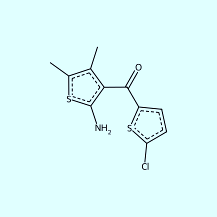 Cc1sc(N)c(C(=O)c2ccc(Cl)s2)c1C